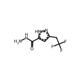 NNC(=O)c1cc(CC(F)(F)F)n[nH]1